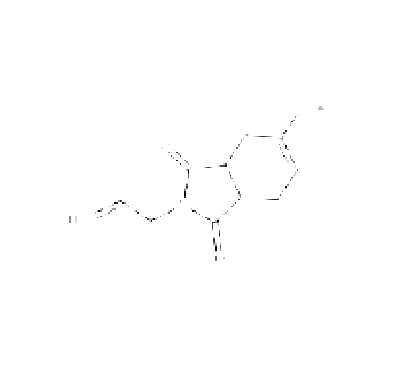 C=CCN1C(=O)C2CC=C(CCCCCC)CC2C1=O